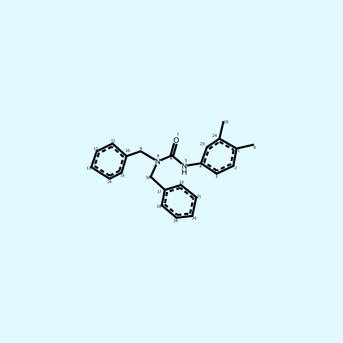 Cc1ccc(NC(=O)N(Cc2ccccc2)Cc2ccccc2)cc1C